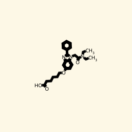 CCN(CC)C(=O)Cn1c(-c2ccccc2)nc2cc(OCCCCCC(=O)O)ccc21